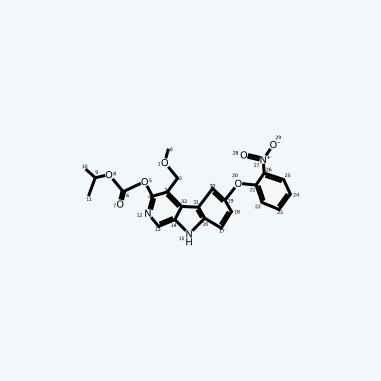 COCc1c(OC(=O)OC(C)C)ncc2[nH]c3ccc(Oc4ccccc4[N+](=O)[O-])cc3c12